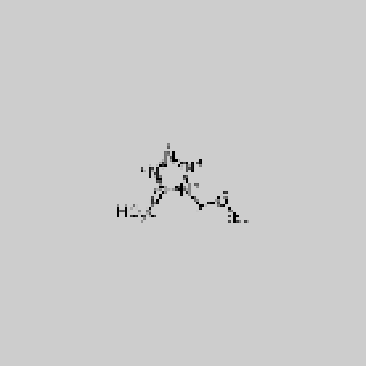 CCOCn1nnnc1C(=O)O